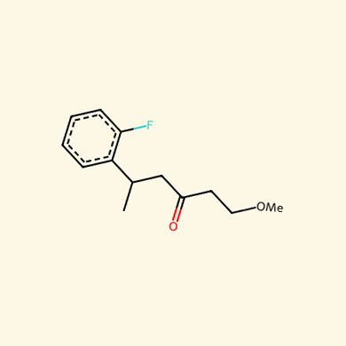 COCCC(=O)CC(C)c1ccccc1F